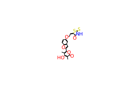 Cc1c(-c2cc3cc(OCC=C4SC(=S)NC4=O)ccc3o2)oc(=O)c(C)c1O